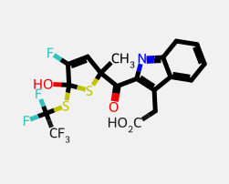 CC1(C(=O)C2=C(CC(=O)O)C3=CC=CCC3=N2)C=C(F)C(O)(SC(F)(F)C(F)(F)F)S1